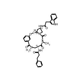 CN1C[C@@H](NC(=O)CCc2ccccc2)C(=O)N(C)CC(=O)N2C[C@@H](NC(=O)Cc3c[nH]c4ccccc34)C[C@H]2COc2cccc(c2)C1=O